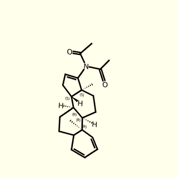 CC(=O)N(C(C)=O)C1=CC[C@H]2[C@@H]3CCC4C=CC=C[C@]4(C)[C@@H]3CC[C@]12C